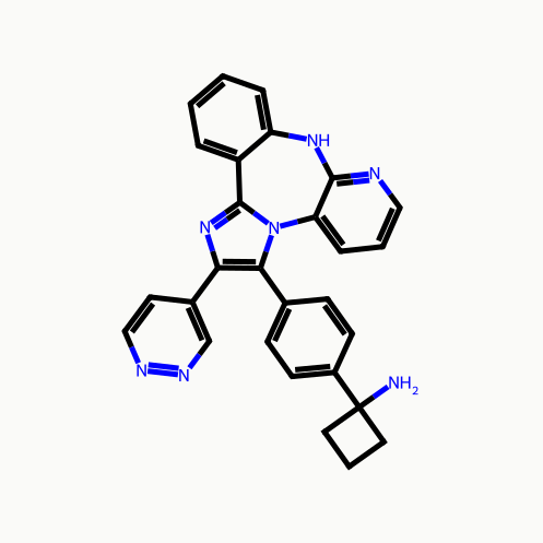 NC1(c2ccc(-c3c(-c4ccnnc4)nc4n3-c3cccnc3Nc3ccccc3-4)cc2)CCC1